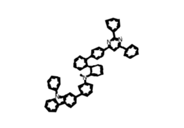 CN(C1=CC=CCC1c1ccccc1-c1ccc(-c2cc(-c3ccccc3)nc(-c3ccccc3)n2)cc1)c1cccc(-c2ccc3c4ccccc4n(-c4ccccc4)c3c2)c1